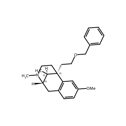 COc1ccc2c(c1)[C@]1(CCOCc3ccccc3)CCN(C)[C@@H](C2)[C@H]1C